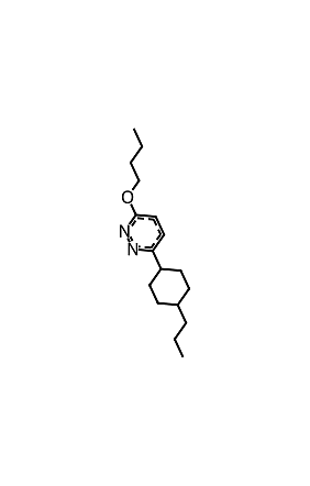 CCCCOc1ccc(C2CCC(CCC)CC2)nn1